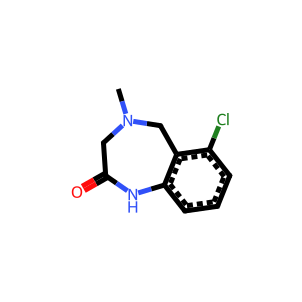 CN1CC(=O)Nc2cccc(Cl)c2C1